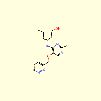 CCC[C@@H](CCO)Nc1nc(C)ncc1OCc1cccnn1